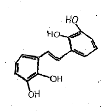 Oc1cccc(/C=C/c2cccc(O)c2O)c1O